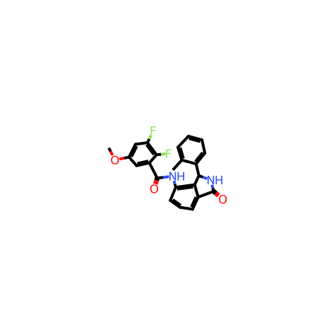 COc1cc(F)c(F)c(C(=O)Nc2cccc3c2C(c2ccccc2C)NC3=O)c1